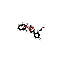 COCOc1cc(Cl)ccc1-c1ncc(O[C@@H]2C[C@@H]3CCCC([C@H]2F)N3C(=O)OC(C)(C)C)nn1